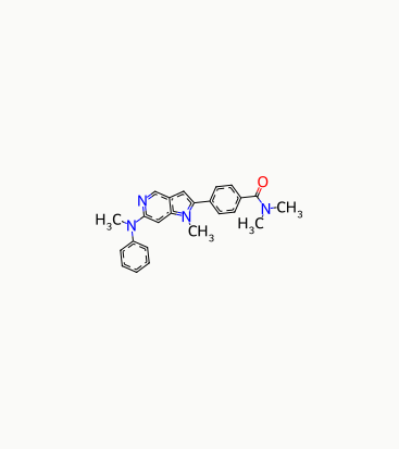 CN(C)C(=O)c1ccc(-c2cc3cnc(N(C)c4ccccc4)cc3n2C)cc1